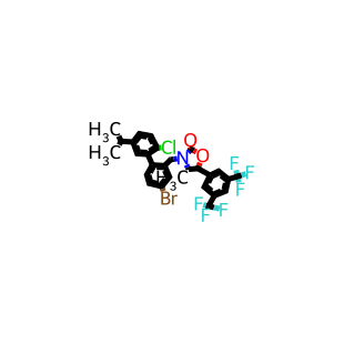 CC(C)c1ccc(Cl)c(-c2ccc(Br)cc2CN2C(=O)OC(c3cc(C(F)(F)F)cc(C(F)(F)F)c3)C2C)c1